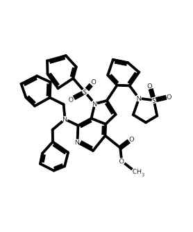 COC(=O)c1cnc(N(Cc2ccccc2)Cc2ccccc2)c2c1cc(-c1ccccc1N1CCCS1(=O)=O)n2S(=O)(=O)c1ccccc1